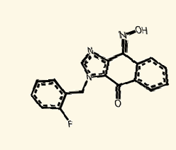 O=C1c2ccccc2/C(=N\O)c2ncn(Cc3ccccc3F)c21